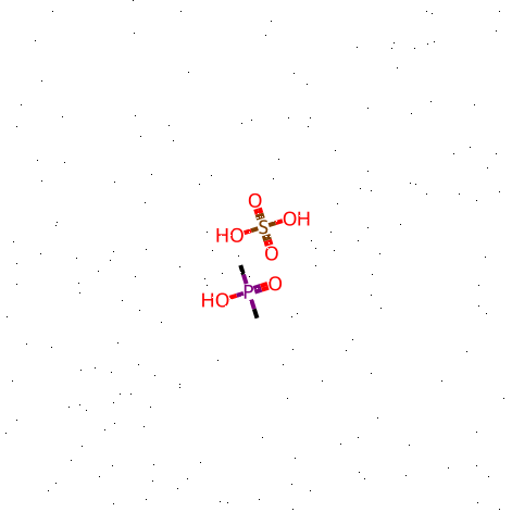 CP(C)(=O)O.O=S(=O)(O)O